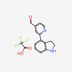 O=C(O)C(F)(F)F.O=Cc1ccnc(-c2cccc3c2CCN3)c1